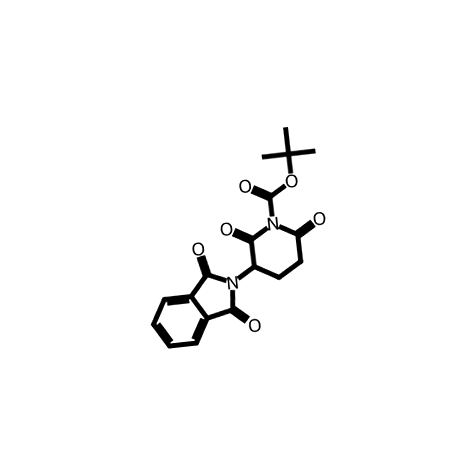 CC(C)(C)OC(=O)N1C(=O)CCC(N2C(=O)c3ccccc3C2=O)C1=O